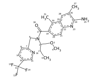 CCC(OC)N(Cc1ccc(C(F)(F)F)cn1)C(=O)c1ccc2nc(N)c(C)cc2c1C